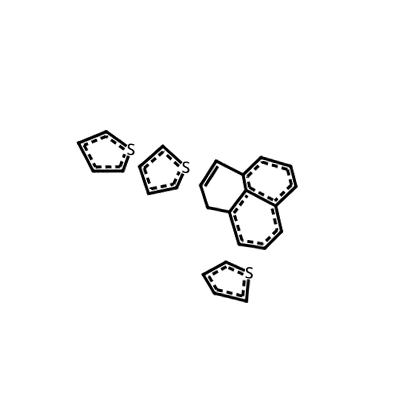 C1=Cc2cccc3cccc(c23)C1.c1ccsc1.c1ccsc1.c1ccsc1